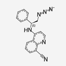 N#Cc1cccc2c(N[C@H](CN=[N+]=[N-])c3ccccc3)ccnc12